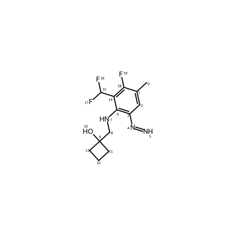 Cc1cc(N=N)c(NCC2(O)CCC2)c(C(F)F)c1F